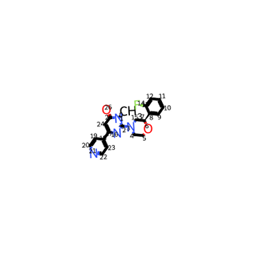 Cn1c(N2CCO[C@H](c3ccccc3F)C2)nc(-c2ccncc2)cc1=O